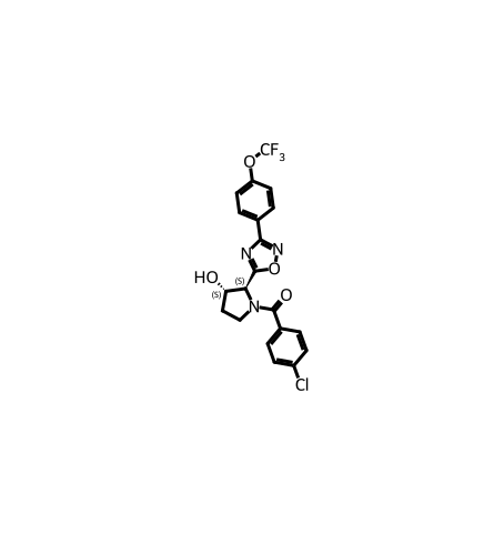 O=C(c1ccc(Cl)cc1)N1CC[C@H](O)[C@H]1c1nc(-c2ccc(OC(F)(F)F)cc2)no1